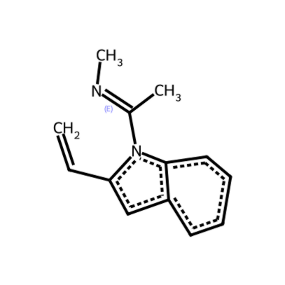 C=Cc1cc2ccccc2n1/C(C)=N/C